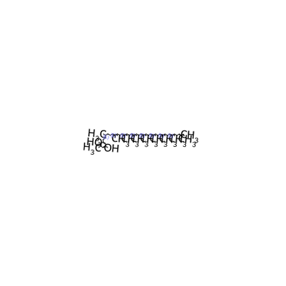 CC(C)=CCC/C(C)=C/CC/C(C)=C/CC/C(C)=C/CC/C(C)=C/CC/C(C)=C/CC/C(C)=C/CC/C(C)=C/CC/C(C)=C/Cc1cc(O)cc(C)c1O